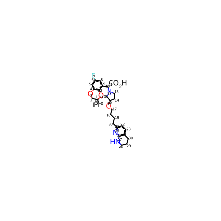 CC(C)[C@H]1COc2cc(F)cc([C@H](C(=O)O)N3CC[C@@H](OCCCCc4ccc5c(n4)NCCC5)C3)c2O1